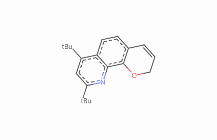 CC(C)(C)c1cc(C(C)(C)C)c2ccc3c(c2n1)OCC=C3